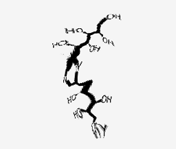 OC[C@@H](O)[C@H](O)[C@H](O)Cc1cncc([C@H](O)[C@@H](O)[C@@H](O)[C@H](O)CO)n1